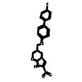 O=[N+]([O-])C1=CN2CC(COc3ccc(-c4ccc(F)cc4)cc3)COC2N1